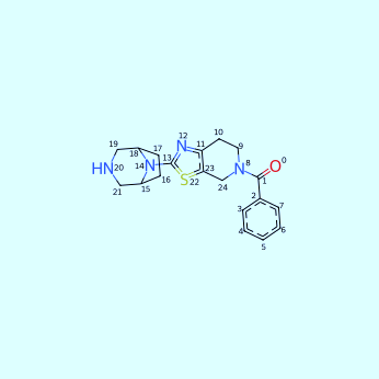 O=C(c1ccccc1)N1CCc2nc(N3C4CCC3CNC4)sc2C1